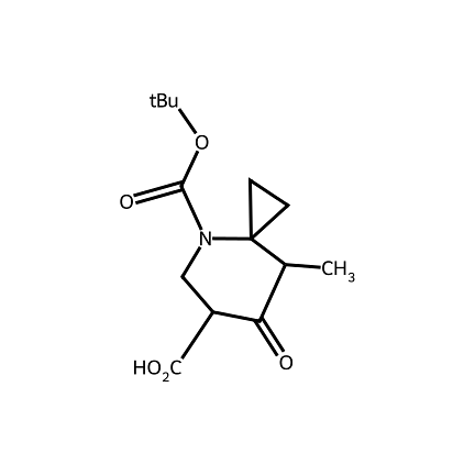 CC1C(=O)C(C(=O)O)CN(C(=O)OC(C)(C)C)C12CC2